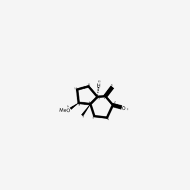 C=C1C(=O)CC[C@]2(C)[C@@H](OC)CC[C@@H]12